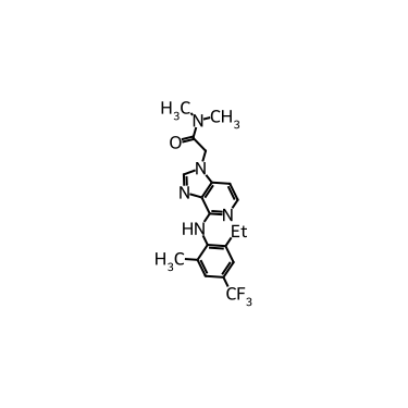 CCc1cc(C(F)(F)F)cc(C)c1Nc1nccc2c1ncn2CC(=O)N(C)C